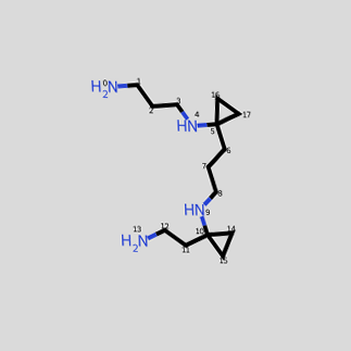 NCCCNC1(CCCNC2(CCN)CC2)CC1